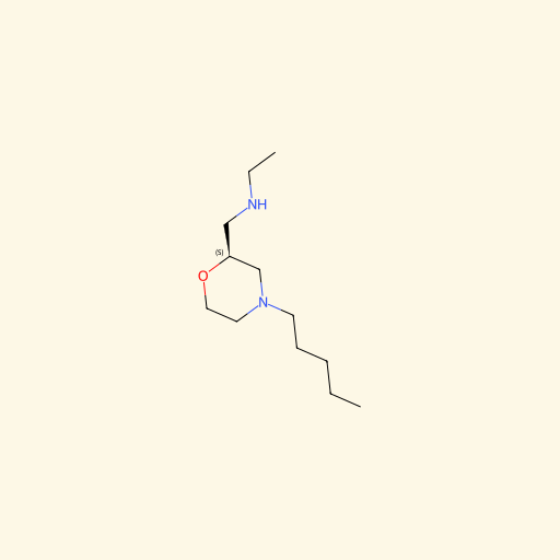 CCCCCN1CCO[C@@H](CNCC)C1